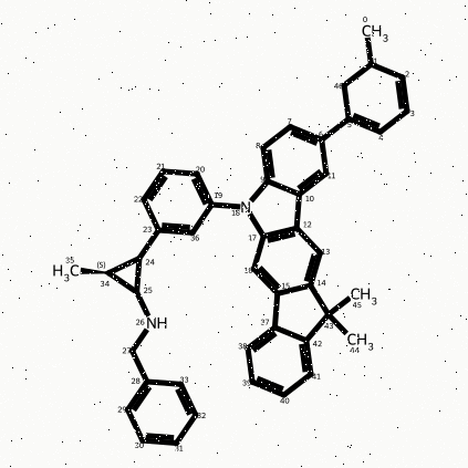 CC1C=CC=C(c2ccc3c(c2)c2cc4c(cc2n3-c2cccc(C3C(NCc5ccccc5)[C@H]3C)c2)-c2ccccc2C4(C)C)C1